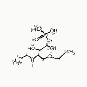 CCOCCOCC.O=P(O)(O)O.OCCO